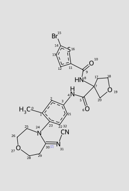 Cc1cc(NC(=O)C2(NC(=O)c3ccc(Br)s3)CCOC2)ccc1N1CCOCC/C1=N/C#N